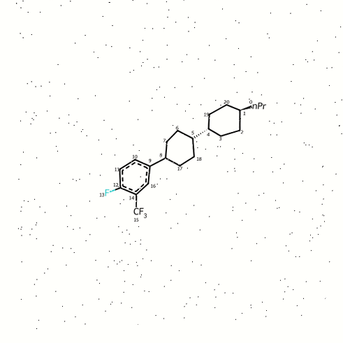 CCC[C@H]1CC[C@H](C2CCC(c3ccc(F)c(C(F)(F)F)c3)CC2)CC1